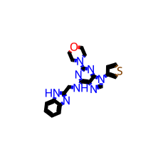 c1ccc2[nH]c(CNc3nc(N4CCOCC4)nc4c3ncn4-c3ccsc3)nc2c1